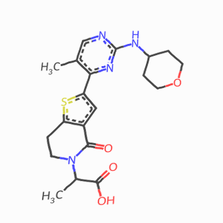 Cc1cnc(NC2CCOCC2)nc1-c1cc2c(s1)CCN(C(C)C(=O)O)C2=O